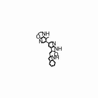 Cc1c(-c2cnc3c(c2)/C(=C/c2cc4ccccc4[nH]2)C(=O)N3)cnc2c1NCCO2